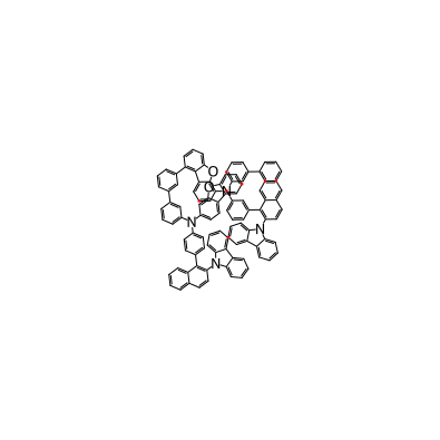 c1ccc(-c2cccc(N(c3cccc(-c4c(-n5c6ccccc6c6ccccc65)ccc5ccccc45)c3)c3cccc4c3oc3cccc(-c5cccc(-c6cccc(N(c7ccc(-c8c(-n9c%10ccccc%10c%10ccccc%109)ccc9ccccc89)cc7)c7ccc8c(c7)oc7ccccc78)c6)c5)c34)c2)cc1